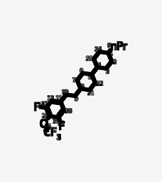 CCCC1CCC(C2CCC(CCc3cc(F)c(OC(F)(F)F)c(F)c3)CC2)CC1